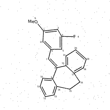 COc1cc(F)cc(C=C2c3ccccc3CCc3ccccc32)c1